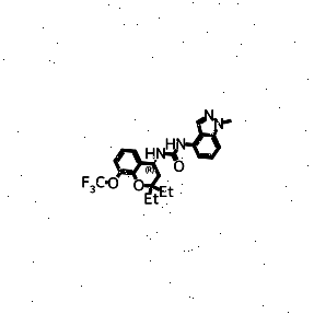 CCC1(CC)C[C@@H](NC(=O)Nc2cccc3c2cnn3C)c2cccc(OC(F)(F)F)c2O1